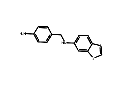 Nc1ccc(CNc2ccc3ncsc3c2)cc1